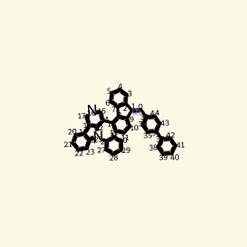 C(=C1\c2ccccc2-c2c1cccc2-c1cncc2c3ccccc3n(-c3ccccc3)c12)/c1ccc(-c2ccccc2)cc1